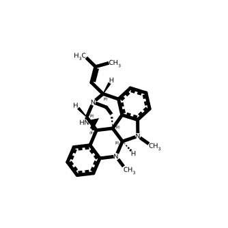 CC(C)=C[C@@H]1c2cccc3c2[C@]24CCN1[C@H]1NCC[C@]12c1ccccc1N(C)[C@@H]4N3C